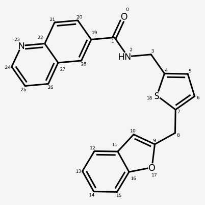 O=C(NCc1ccc(Cc2cc3ccccc3o2)s1)c1ccc2ncccc2c1